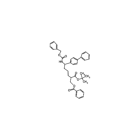 CC(C)(C)OC(=O)C(CCCC(NC(=O)OCc1ccccc1)c1ccc(-c2ccccc2)cc1)COC(=O)c1ccccc1